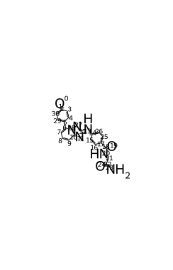 COc1ccc(-c2cccc3nc(Nc4ccc(C(=O)NCC(N)=O)cc4)nn23)cc1